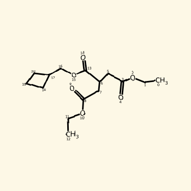 CCOC(=O)CC(CC(=O)OCC)C(=O)OCC1CCC1